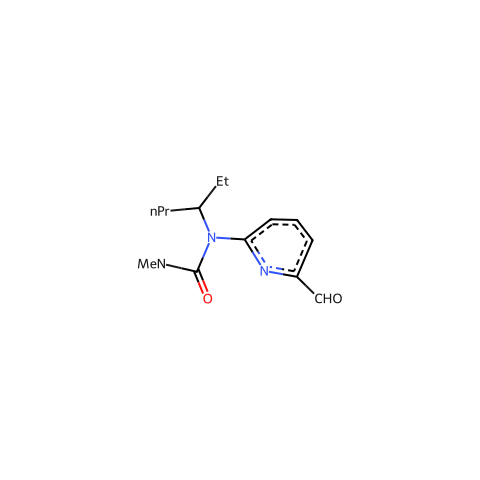 CCCC(CC)N(C(=O)NC)c1cccc(C=O)n1